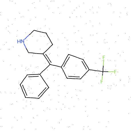 FC(F)(F)c1ccc(/C(=C2\CCCNC2)c2ccccc2)cc1